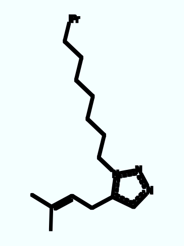 CC(C)=CCc1cnnn1CCCCCCCC(C)C